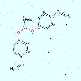 C=Cc1ccc(OC(CCCCC)Oc2ccc(C=C)cc2)cc1